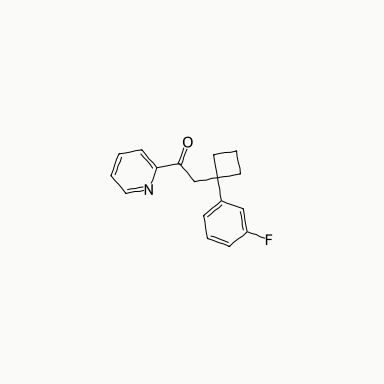 O=C(CC1(c2cccc(F)c2)CCC1)c1ccccn1